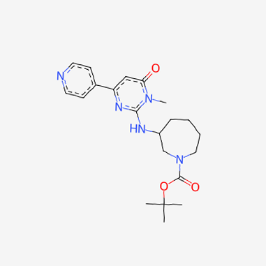 Cn1c(NC2CCCCN(C(=O)OC(C)(C)C)C2)nc(-c2ccncc2)cc1=O